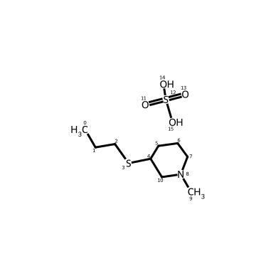 CCCSC1CCCN(C)C1.O=S(=O)(O)O